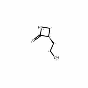 O=C1NC[C@H]1CCO